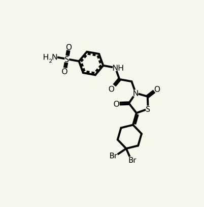 NS(=O)(=O)c1ccc(NC(=O)CN2C(=O)SC(=C3CCC(Br)(Br)CC3)C2=O)cc1